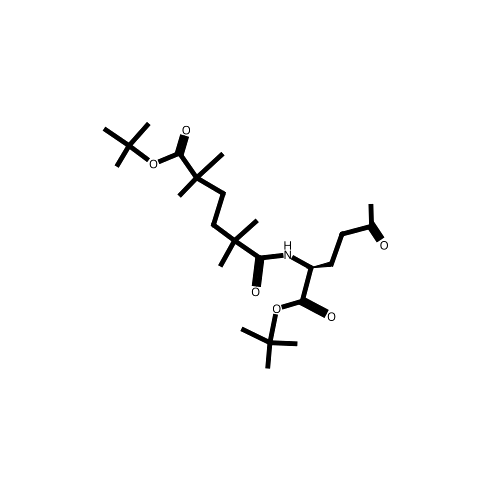 CC(=O)CC[C@H](NC(=O)C(C)(C)CCC(C)(C)C(=O)OC(C)(C)C)C(=O)OC(C)(C)C